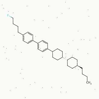 CCCC[C@H]1CC[C@H](C2CCC(c3ccc(-c4ccc(CCCCF)cc4)cc3)CC2)CC1